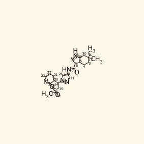 CC1(C)CCc2c(C(=O)Nc3cnn(C(CS(C)(=O)=O)c4cccnc4)c3)n[nH]c2C1